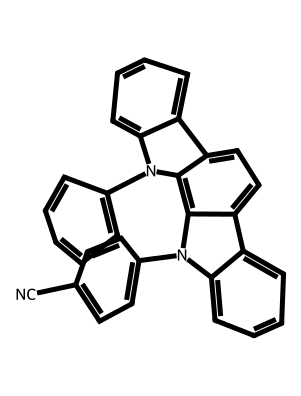 N#Cc1ccc(-n2c3ccccc3c3ccc4c5ccccc5n(-c5ccccc5)c4c32)cc1